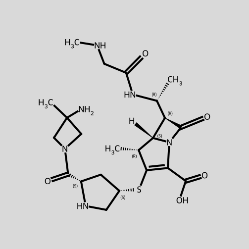 CNCC(=O)N[C@H](C)[C@H]1C(=O)N2C(C(=O)O)=C(S[C@@H]3CN[C@H](C(=O)N4CC(C)(N)C4)C3)[C@H](C)[C@H]12